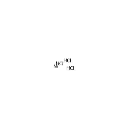 Cl.Cl.Cl.[Ni]